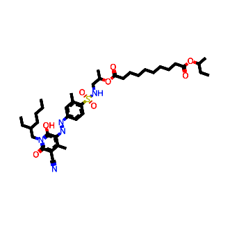 CCCCC(CC)Cn1c(O)c(N=Nc2ccc(S(=O)(=O)NCC(C)OC(=O)CCCCCCCCC(=O)OC(C)CC)c(C)c2)c(C)c(C#N)c1=O